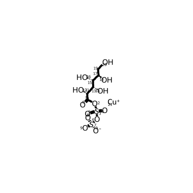 O=C(OS(=O)(=O)OS(=O)(=O)[O-])[C@H](O)[C@@H](O)[C@H](O)[C@H](O)CO.[Cu+]